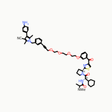 CNC(C)C(=O)N[C@H](C(=O)N1CCC[C@H]1c1nc(C(=O)c2cccc(OCCOCCOCCOCC#Cc3cccc(Cn4c(C)c(C#N)c(-c5ccc(N)cc5)c4C)c3)c2)cs1)C1CCCCC1